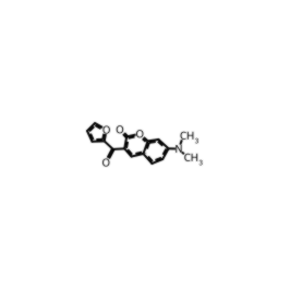 CN(C)c1ccc2cc(C(=O)c3ccco3)c(=O)oc2c1